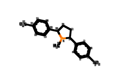 CP1C(c2ccc([N+](=O)[O-])cc2)CCC1c1ccc([N+](=O)[O-])cc1